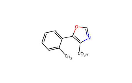 Cc1ccccc1-c1ocnc1C(=O)O